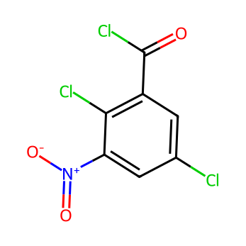 O=C(Cl)c1cc(Cl)cc([N+](=O)[O-])c1Cl